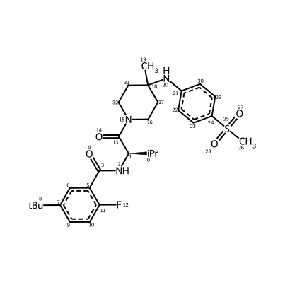 CC(C)[C@@H](NC(=O)c1cc(C(C)(C)C)ccc1F)C(=O)N1CCC(C)(Nc2ccc(S(C)(=O)=O)cc2)CC1